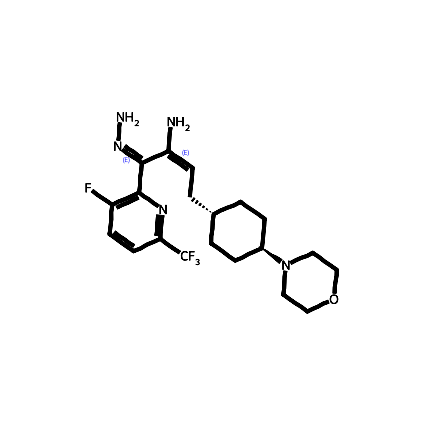 N/N=C(\C(N)=C/C[C@H]1CC[C@H](N2CCOCC2)CC1)c1nc(C(F)(F)F)ccc1F